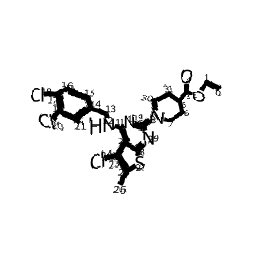 CCOC(=O)C1CCN(c2nc(NCc3ccc(Cl)c(Cl)c3)c3c(Cl)c(C)sc3n2)CC1